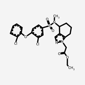 CCOC(=O)Cn1ncc2c1CCCC2N(C)S(=O)(=O)c1ccc(Oc2ccccc2Cl)c(Cl)c1